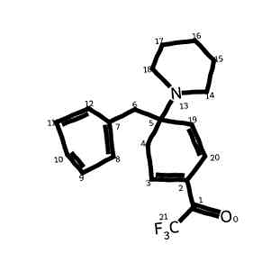 O=C(C1=CCC(Cc2ccccc2)(N2CCCCC2)C=C1)C(F)(F)F